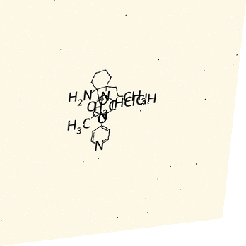 CC(=O)OC(=O)C1(N)CCCCC1(CC(C)C)N1CCN(c2ccncc2)CC1.Cl.Cl